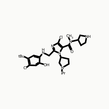 CC(C)N1CCC(n2c(CNc3cc(C(C)(C)C)c(Cl)cc3O)nc(Cl)c2C(=O)N(C)C2CCNC2)C1